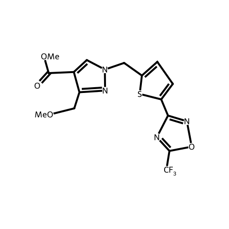 COCc1nn(Cc2ccc(-c3noc(C(F)(F)F)n3)s2)cc1C(=O)OC